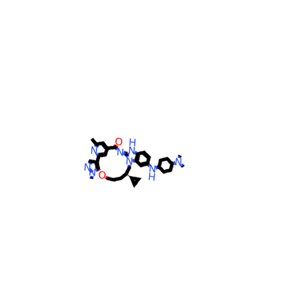 Cc1cc2cc(n1)-c1cnn(C)c1OCCC[C@@H](C1CC1)CN1/C(=N/C2=O)Nc2ccc(NC3CCC(N(C)C)CC3)cc21